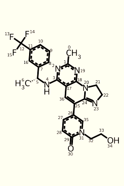 Cc1nc(N[C@H](C)c2cccc(C(F)(F)F)c2)c2c(n1)N1CCN=C1C(c1ccc(=O)n(CCO)c1)=C2